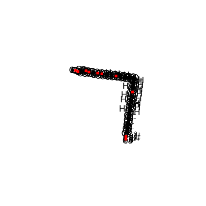 O=S(=O)(O)O.O=S(=O)(O)O.O=S(=O)(O)O.O=S(=O)(O)O.O=S(=O)(O)O.O=S(=O)(O)O.O=S(=O)(O)O.O=S(=O)(O)O.O=S(=O)(O)O.O=S(=O)(O)O.O=S(=O)(O)O.O=S(=O)(O)O.O=S(=O)(O)O.O=S(=O)(O)O.O=S(=O)(O)O.O=S(=O)([O-])[O-].O=S(=O)([O-])[O-].O=S(=O)([O-])[O-].O=S(=O)([O-])[O-].O=S(=O)([O-])[O-].O=S(=O)([O-])[O-].O=S(=O)([O-])[O-].O=S(=O)([O-])[O-].O=S(=O)([O-])[O-].O=S(=O)([O-])[O-].[Ca+2].[Ca+2].[Ca+2].[Ca+2].[Ca+2].[Ca+2].[Ca+2].[Ca+2].[Ca+2].[Ca+2]